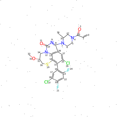 C=CC(=O)N1CCN(c2nc(=O)n3c4c(c(-c5cc(Cl)c(F)cc5F)c(Cl)cc24)SCC(OC)C3)C(C)C1